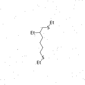 CCS[CH]C(CC)CCCCSCC